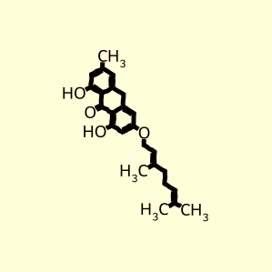 CC(C)=CCC/C(C)=C/COc1cc(O)c2c(c1)Cc1cc(C)cc(O)c1C2=O